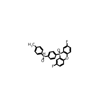 Cc1ccc([PH](=O)c2ccc(P3(=O)c4cc(F)ccc4Oc4ccc(F)cc43)cc2)cc1